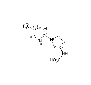 O=C(O)N[C@@H]1CCN(c2ncc(C(F)(F)F)cn2)C1